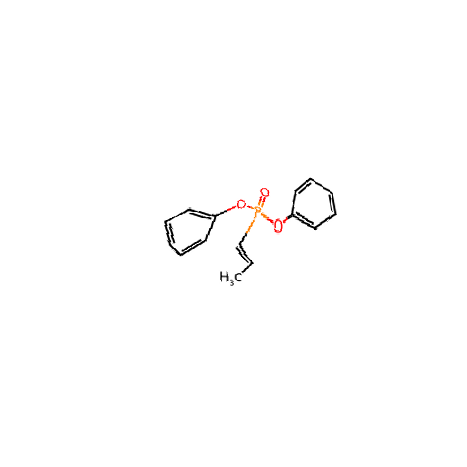 CC=CP(=O)(Oc1ccccc1)Oc1ccccc1